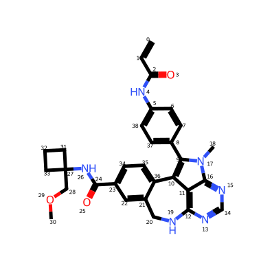 C=CC(=O)Nc1ccc(-c2c3c4c(ncnc4n2C)NCc2cc(C(=O)NC4(COC)CCC4)ccc2-3)cc1